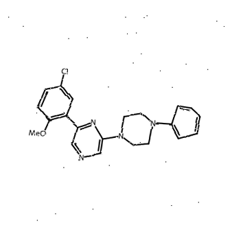 COc1ccc(Cl)cc1-c1cncc(N2CCN(c3ccccc3)CC2)n1